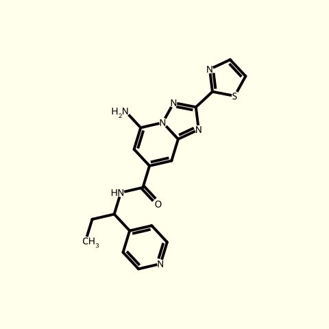 CCC(NC(=O)c1cc(N)n2nc(-c3nccs3)nc2c1)c1ccncc1